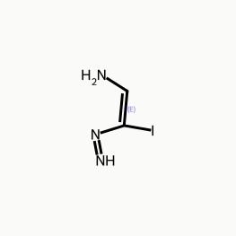 N=N/C(I)=C\N